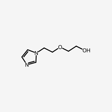 OCCOCCn1ccnc1